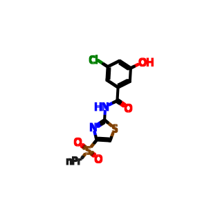 CCCS(=O)(=O)c1csc(NC(=O)c2cc(O)cc(Cl)c2)n1